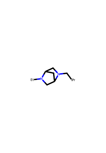 CCN1CC2CC1CN2CC(C)C